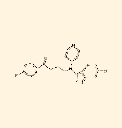 O=C(CCCN(c1ccncc1)c1csc2cc(Cl)ccc12)c1ccc(F)cc1